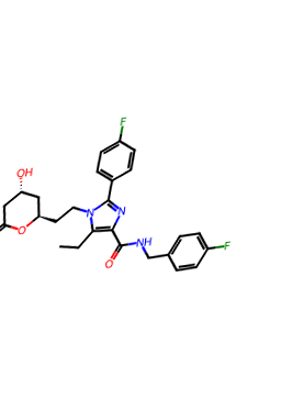 CCc1c(C(=O)NCc2ccc(F)cc2)nc(-c2ccc(F)cc2)n1CC[C@@H]1C[C@@H](O)CC(=O)O1